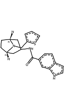 O=C(NC1C[C@H]2CC[C@@H](C1)N2Cc1cccs1)c1ccc2cc[nH]c2c1